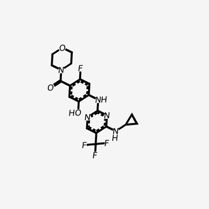 O=C(c1cc(O)c(Nc2ncc(C(F)(F)F)c(NC3CC3)n2)cc1F)N1CCOCC1